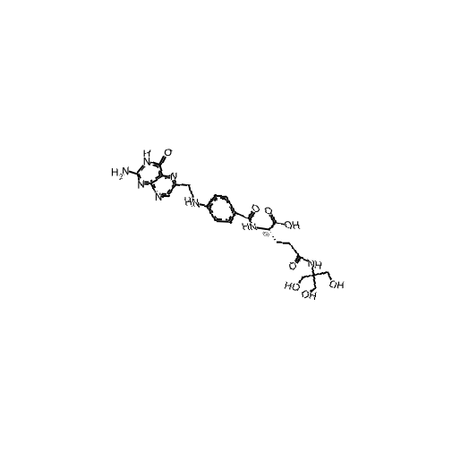 Nc1nc2ncc(CNc3ccc(C(=O)N[C@@H](CCC(=O)NC(CO)(CO)CO)C(=O)O)cc3)nc2c(=O)[nH]1